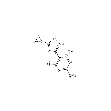 COc1cc(Cl)c(-c2cc(C3CC3)on2)c(Cl)c1